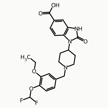 CCOc1cc(CN2CCC(n3c(=O)[nH]c4cc(C(=O)O)ccc43)CC2)ccc1OC(F)F